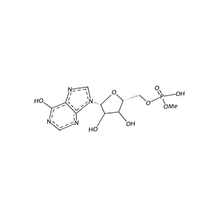 COP(=O)(O)OC[C@H]1O[C@@H](n2cnc3c(O)ncnc32)C(O)C1O